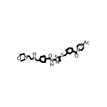 CC(=O)N1CCN(C(=O)c2cccc(CSc3cnc(NC(=O)c4ccc(CNCCN5CCOCC5)cc4)s3)c2)CC1